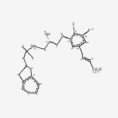 CC(C)(CC1Cc2ccccc2C1)NC[C@H](O)COc1cc(/C=C/C(=O)O)cc(F)c1F